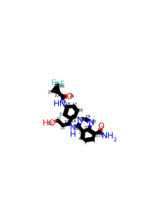 NC(=O)c1cccc2c(NC(CCO)c3cccc(NC(=O)C4CC4(F)F)c3)ncnc12